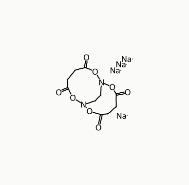 O=C1CCC(=O)ON2CCN(O1)OC(=O)CCC(=O)O2.[Na].[Na].[Na].[Na]